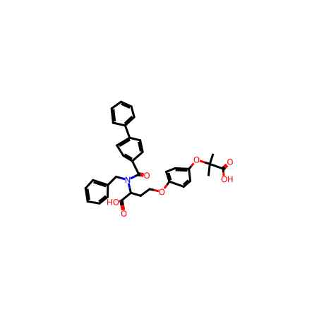 CC(C)(Oc1ccc(OCCC(C(=O)O)N(Cc2ccccc2)C(=O)c2ccc(-c3ccccc3)cc2)cc1)C(=O)O